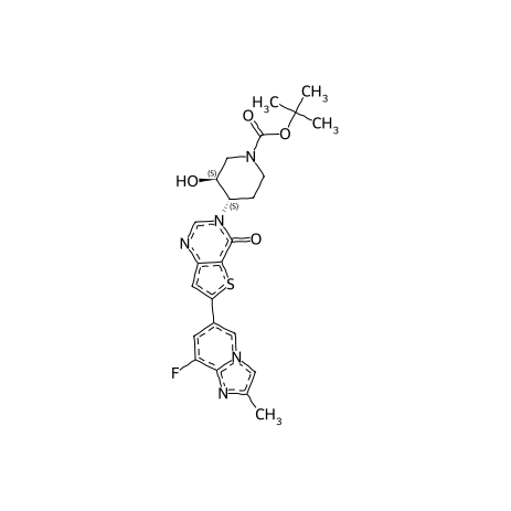 Cc1cn2cc(-c3cc4ncn([C@H]5CCN(C(=O)OC(C)(C)C)C[C@@H]5O)c(=O)c4s3)cc(F)c2n1